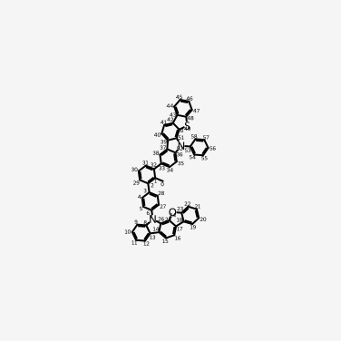 Cc1c(-c2ccc(-n3c4ccccc4c4ccc5c6ccccc6oc5c43)cc2)cccc1-c1ccc2c(c1)c1ccc3c4ccccc4sc3c1n2-c1ccccc1